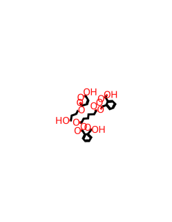 O=C(CCCCC(=O)OC(=O)c1ccccc1C(=O)O)OC(=O)c1ccccc1C(=O)O.O=C(O)/C=C\C(=O)OCCCCO